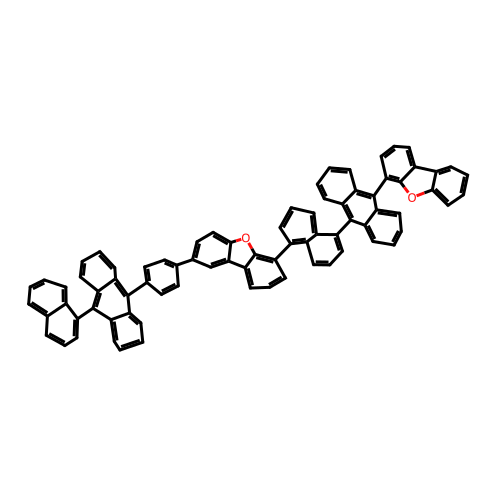 c1ccc2c(-c3c4ccccc4c(-c4ccc(-c5ccc6oc7c(-c8cccc9c(-c%10c%11ccccc%11c(-c%11cccc%12c%11oc%11ccccc%11%12)c%11ccccc%10%11)cccc89)cccc7c6c5)cc4)c4ccccc34)cccc2c1